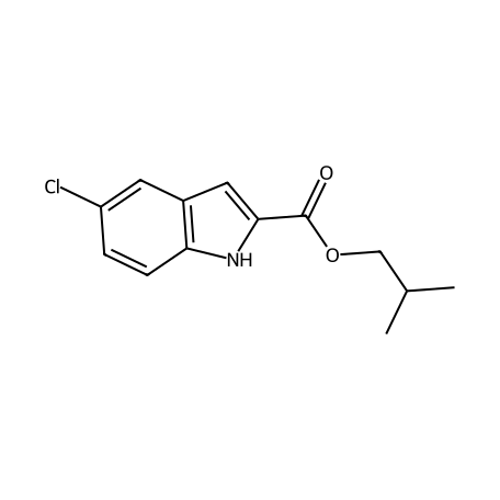 CC(C)COC(=O)c1cc2cc(Cl)ccc2[nH]1